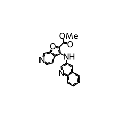 COC(=O)c1oc2cnccc2c1Nc1cnc2ccccc2c1